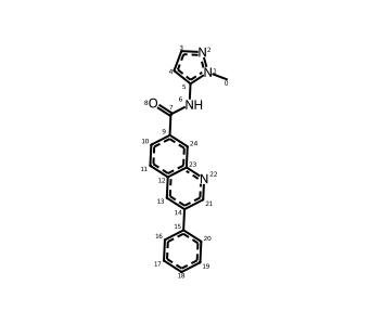 Cn1nccc1NC(=O)c1ccc2cc(-c3ccccc3)cnc2c1